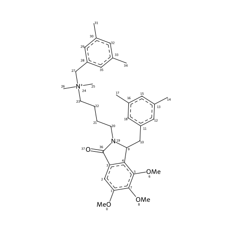 COc1cc2c(c(OC)c1OC)C(Cc1cc(C)cc(C)c1)N(CCCC[N+](C)(C)Cc1cc(C)cc(C)c1)C2=O